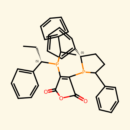 CC[C@@H](c1ccccc1)P(C1=C(P2C(c3ccccc3)CC[C@H]2c2ccccc2)C(=O)OC1=O)C(C)c1ccccc1